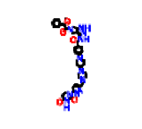 CO[C@@H](C(=O)N1Cc2[nH]nc(NC(=O)c3ccc(N4CCC(N5CCN(Cc6ccc(N7CCC(=O)NC7=O)nn6)CC5)CC4)cc3)c2C1)c1ccccc1